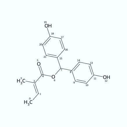 CC=C(C)C(=O)OC(c1ccc(O)cc1)c1ccc(O)cc1